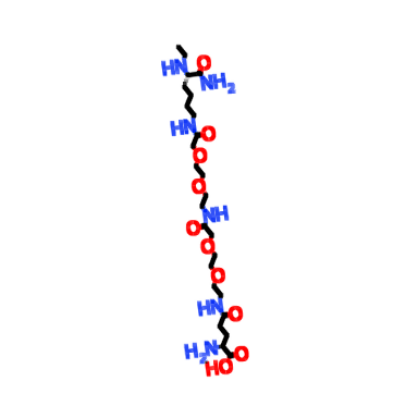 CCN[C@@H](CCCCNC(=O)COCCOCCNC(=O)COCCOCCNC(=O)CC[C@H](N)C(=O)O)C(N)=O